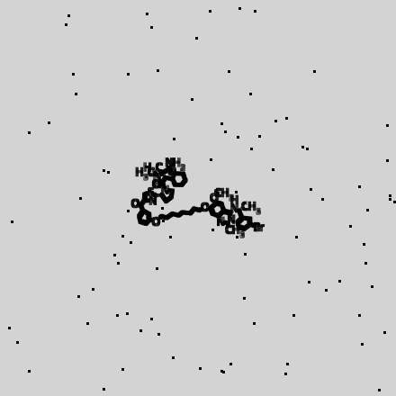 CNC(C)(C(N)=O)[C@@H](C(=O)N1CCC[C@H]1c1nc(C(=O)c2cccc(OCCCCCCCCOc3cc4nc(C)nc(N[C@H](C)c5cccc(Br)c5)c4cc3OC)c2)cs1)C1CCCCC1